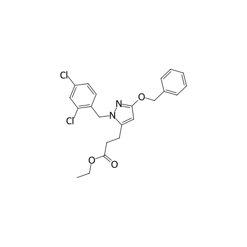 CCOC(=O)CCc1cc(OCc2ccccc2)nn1Cc1ccc(Cl)cc1Cl